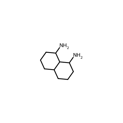 NC1CCCC2CCCC(N)C12